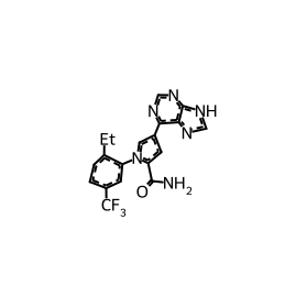 CCc1ccc(C(F)(F)F)cc1-n1cc(-c2ncnc3[nH]cnc23)cc1C(N)=O